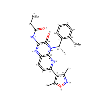 CNCC(=O)Nc1nc2ccc(-c3c(C)noc3C)nc2n([C@@H](C)c2ccccc2OC)c1=O